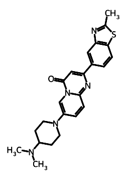 Cc1nc2cc(-c3cc(=O)n4cc(N5CCC(N(C)C)CC5)ccc4n3)ccc2s1